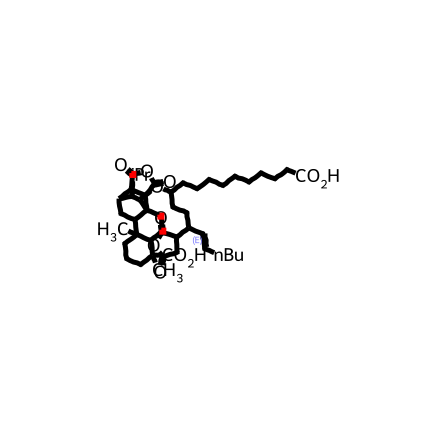 CCCC/C=C/C(CCC(CCCCCCCCCC(=O)O)OC1C(C(C)C)C2CC3C4(C)CCCC(C)(C(=O)O)C4CCC13C1C(=O)OC(=O)C21)C1CC(=O)OC1=O